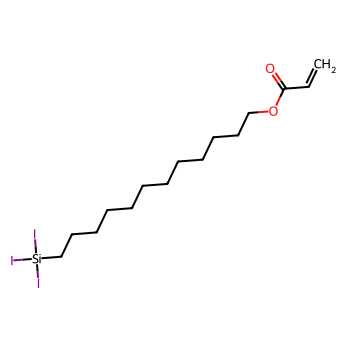 C=CC(=O)OCCCCCCCCCCCC[Si](I)(I)I